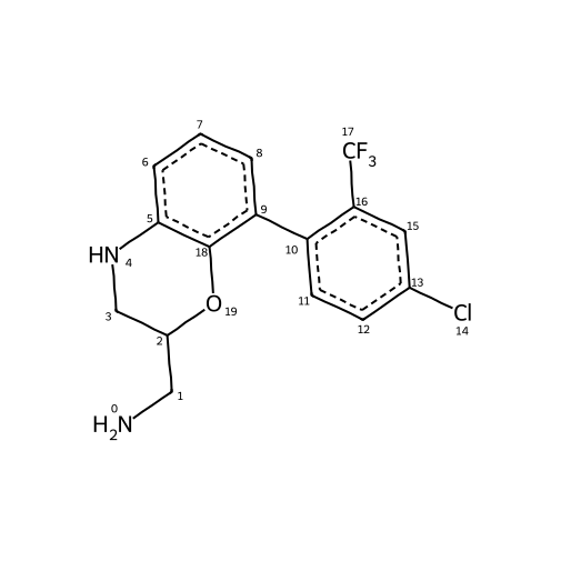 NCC1CNc2cccc(-c3ccc(Cl)cc3C(F)(F)F)c2O1